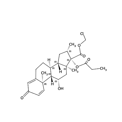 CCC(=O)O[C@@]1(C(=O)OCCl)[C@@H](C)C[C@H]2[C@@H]3CCC4=CC(=O)C=C[C@]4(C)[C@H]3[C@@H](O)C[C@@]21C